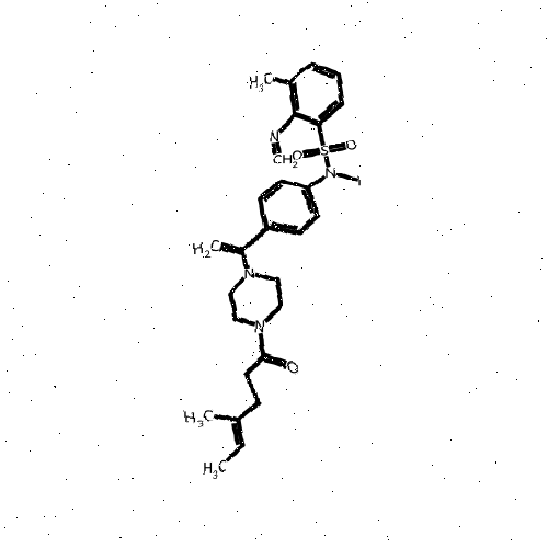 C=Nc1c(C)cccc1S(=O)(=O)N(I)c1ccc(C(=C)N2CCN(C(=O)CC/C(C)=C/C)CC2)cc1